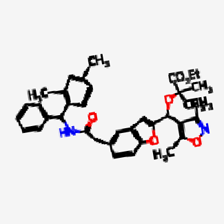 CCOC(=O)C(C)(C)OC(c1cc2cc(CC(=O)NC(c3ccccc3)c3ccc(C)cc3C)ccc2o1)c1c(C)noc1C